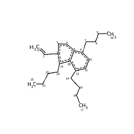 C=Cc1ccc2c(CCCC)ccc(CCCC)c2c1CCCC